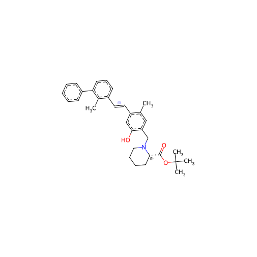 Cc1cc(CN2CCCC[C@H]2C(=O)OC(C)(C)C)c(O)cc1/C=C/c1cccc(-c2ccccc2)c1C